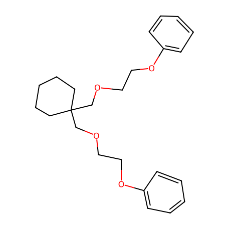 c1ccc(OCCOCC2(COCCOc3ccccc3)CCCCC2)cc1